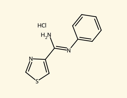 Cl.NC(=Nc1ccccc1)c1cscn1